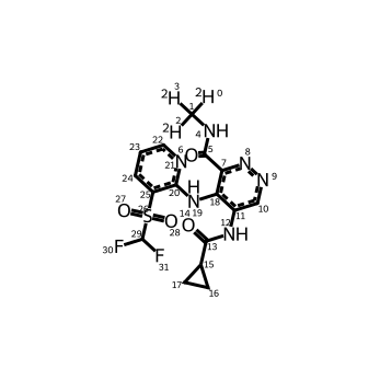 [2H]C([2H])([2H])NC(=O)c1nncc(NC(=O)C2CC2)c1Nc1ncccc1S(=O)(=O)C(F)F